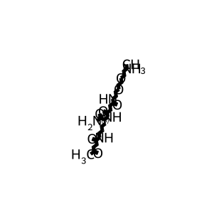 CNCCOCCOCCNC(=O)CCC(=O)N[C@@H](CCCCNC(=O)CCC(C)=O)C(N)=O